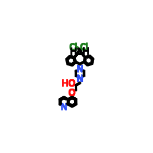 O[C@@H](COc1cccc2ncccc12)CN1CCN([C@@H]2c3ccccc3[C@@H]3[C@H](c4ccccc42)C3(Cl)Cl)CC1